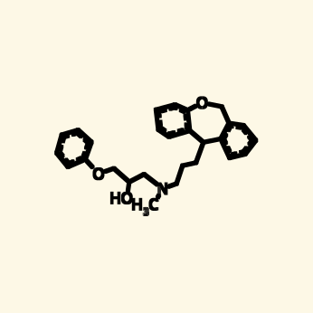 CN(CCCC1c2ccccc2COc2ccccc21)CC(O)COc1ccccc1